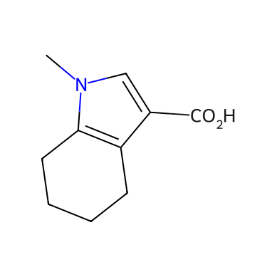 Cn1cc(C(=O)O)c2c1CCCC2